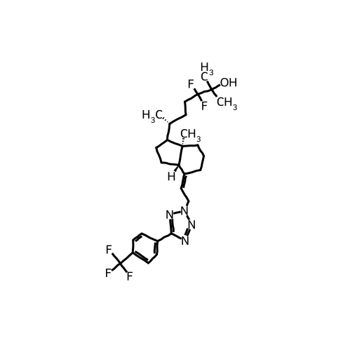 C[C@H](CCC(F)(F)C(C)(C)O)C1CC[C@H]2/C(=C/Cn3nnc(-c4ccc(C(F)(F)F)cc4)n3)CCC[C@]12C